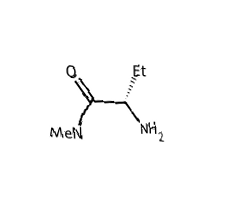 CC[C@H](N)C(=O)NC